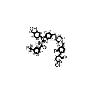 O=C1CCC(c2ccc(CN3CCN(Cc4ccc5c(c4)nc(NC(=O)c4cccc(C(F)(F)F)c4)n5C4CCC(CO)CC4)CC3)cc2F)C(=O)N1